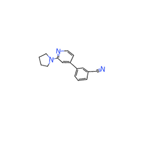 N#Cc1cccc(-c2ccnc(N3CCCC3)c2)c1